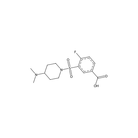 CN(C)C1CCN(S(=O)(=O)c2cc(C(=O)O)ccc2F)CC1